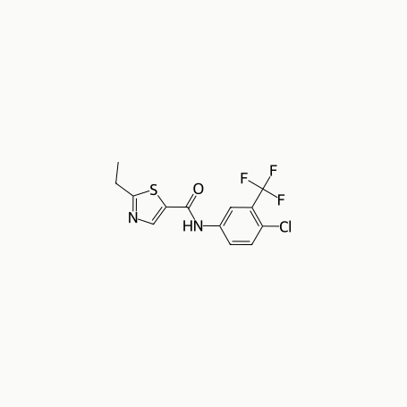 CCc1ncc(C(=O)Nc2ccc(Cl)c(C(F)(F)F)c2)s1